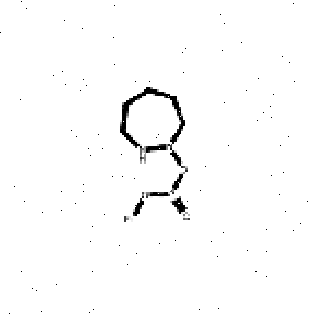 CCO[PH](=O)ON1CCCCCN1